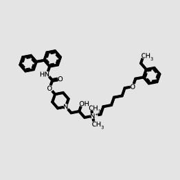 CCc1ccccc1COCCCCCC[N+](C)(C)CC(O)CN1CCC(OC(=O)Nc2ccccc2-c2ccccc2)CC1